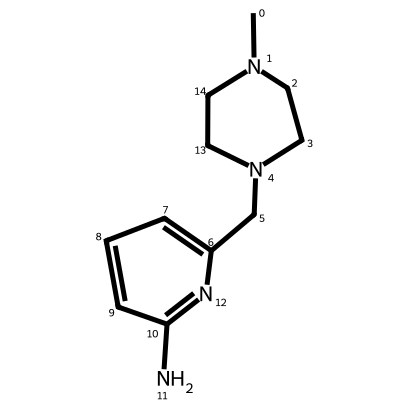 CN1CCN(Cc2cccc(N)n2)CC1